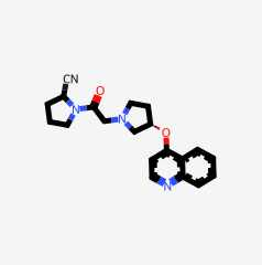 N#CC1CCCN1C(=O)CN1CC[C@H](Oc2ccnc3ccccc23)C1